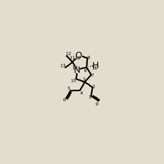 C=CCC1(CC=C)C[C@@H]2COC(C)(C)N2C1